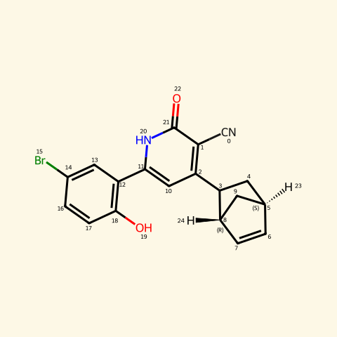 N#Cc1c(C2C[C@H]3C=C[C@H]2C3)cc(-c2cc(Br)ccc2O)[nH]c1=O